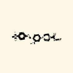 CC(C)OC(=O)N1CCN([C@H]2CC[C@H](COc3ccc(S(C)(=O)=O)cc3)CC2)CC1.Cl